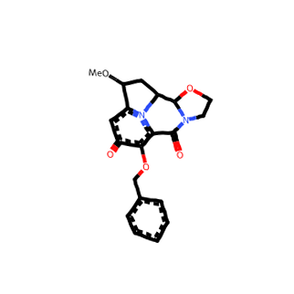 COC1CC2C3OCCN3C(=O)c3c(OCc4ccccc4)c(=O)cc1n32